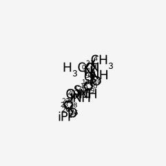 Cc1cc(C)nc(NS(=O)(=O)c2ccc(NC(=S)NC(=O)c3cccc(OC(C)C)c3)cc2)n1